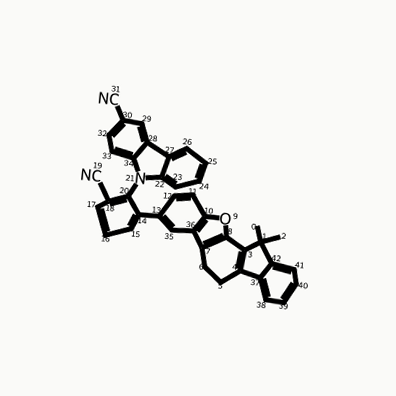 CC1(C)C2=C(CCc3c2oc2ccc(-c4cccc(C#N)c4-n4c5ccccc5c5cc(C#N)ccc54)cc32)c2ccccc21